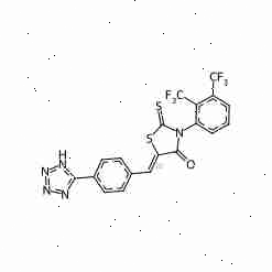 O=C1/C(=C/c2ccc(-c3nnn[nH]3)cc2)SC(=S)N1c1cccc(C(F)(F)F)c1C(F)(F)F